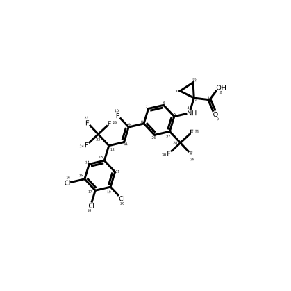 O=C(O)C1(Nc2ccc(/C(F)=C/C(c3cc(Cl)c(Cl)c(Cl)c3)C(F)(F)F)cc2C(F)(F)F)CC1